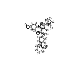 COc1ccc(-n2nc(C3=NCCN3C)c3c2C(=O)N(c2ccc(N4CCCCC4=O)cc2)CC3)cc1